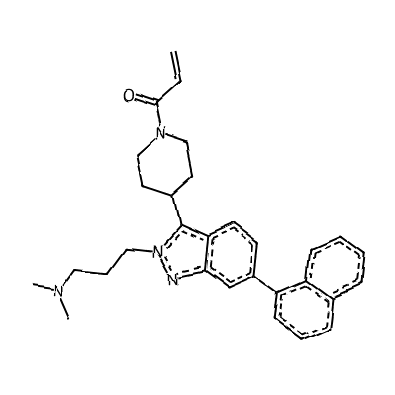 C=CC(=O)N1CCC(c2c3ccc(-c4cccc5ccccc45)cc3nn2CCCN(C)C)CC1